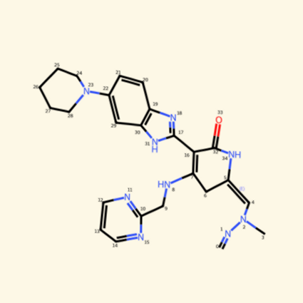 C=NN(C)/C=C1\CC(NCc2ncccn2)=C(c2nc3ccc(N4CCCCC4)cc3[nH]2)C(=O)N1